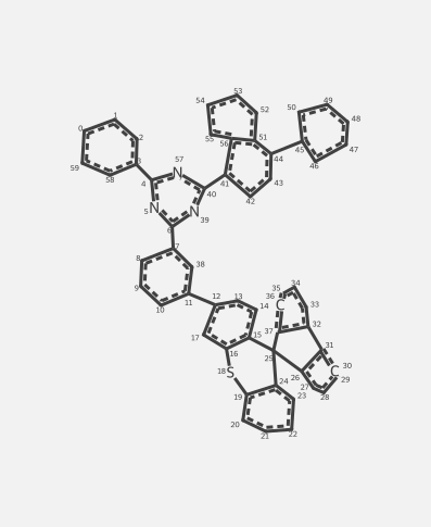 c1ccc(-c2nc(-c3cccc(-c4ccc5c(c4)Sc4ccccc4C54c5ccccc5-c5ccccc54)c3)nc(-c3ccc(-c4ccccc4)c4ccccc34)n2)cc1